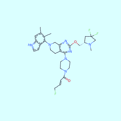 Cc1cc2[nH]ccc2c(N2CCc3c(nc(OC[C@@H]4CC(F)(F)CN4C)nc3N3CCN(C(=O)/C=C/CF)CC3)C2)c1C